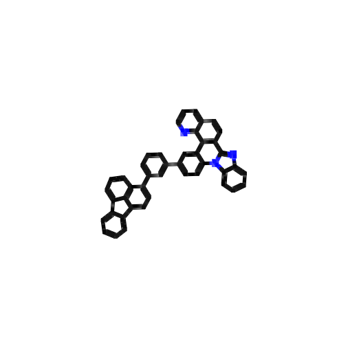 c1cc(-c2ccc3c(c2)c2c(ccc4cccnc42)c2nc4ccccc4n32)cc(-c2ccc3c4c(cccc24)-c2ccccc2-3)c1